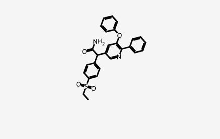 CCS(=O)(=O)c1ccc(C(C(N)=O)c2cnc(-c3ccccc3)c(Oc3ccccc3)c2)cc1